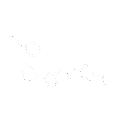 CCOc1ccccc1OC1CCCN(c2cncc(NC(=O)Cc3ccc(C(=O)O)cc3)n2)C1